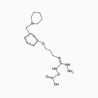 NNC(=NCCCOc1cccc(CN2CCCCC2)c1)NOC(=O)O